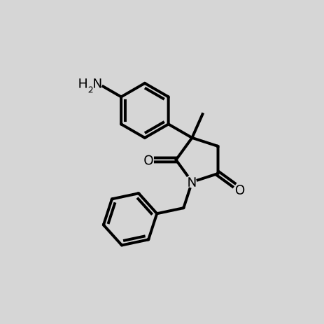 CC1(c2ccc(N)cc2)CC(=O)N(Cc2ccccc2)C1=O